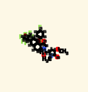 CO[C@H]1C[C@H](C(=O)N2CC[C@@]3(S(=O)(=O)c4ccc(F)cc4)c4ccc(C(F)(C(F)(F)F)C(F)(F)F)cc4CC[C@@H]23)N(C)C1=O